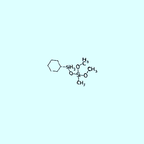 CO[Si](C)(OC)O[SiH2]C1CCCCC1